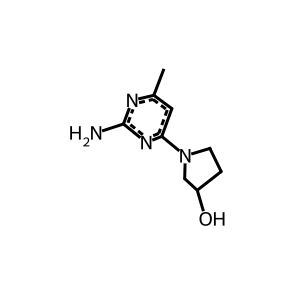 Cc1cc(N2CCC(O)C2)nc(N)n1